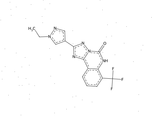 CCn1cc(-c2nc3c4cccc(C(F)(F)F)c4[nH]c(=O)n3n2)cn1